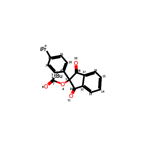 CC(C)c1c[c]c(C2(OC(=O)C(C)(C)C)C(=O)c3ccccc3C2=O)cc1